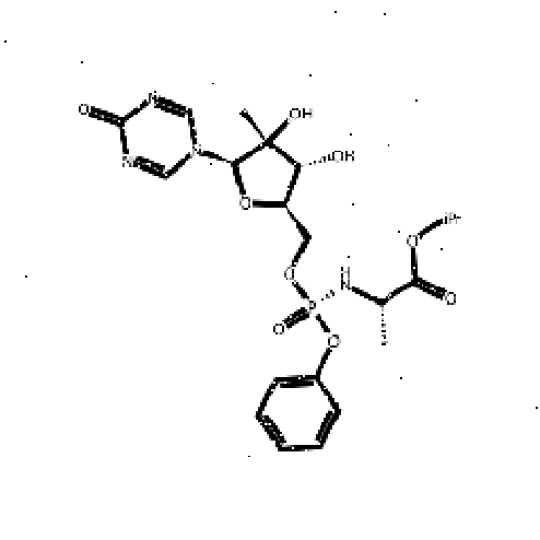 CC(C)OC(=O)[C@H](C)N[P@](=O)(OC[C@H]1O[C@@H](n2cnc(=O)nc2)[C@](C)(O)[C@@H]1O)Oc1ccccc1